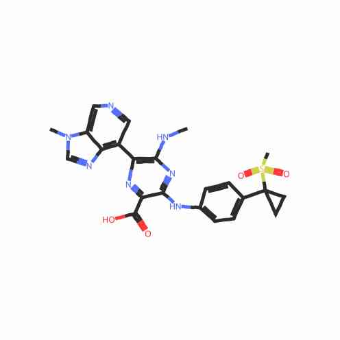 CNc1nc(Nc2ccc(C3(S(C)(=O)=O)CC3)cc2)c(C(=O)O)nc1-c1cncc2c1ncn2C